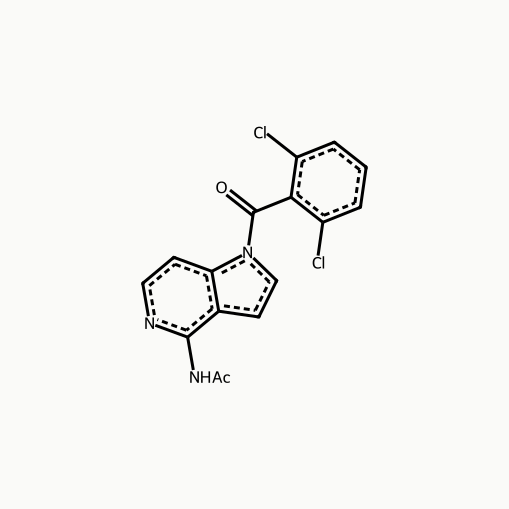 CC(=O)Nc1nccc2c1ccn2C(=O)c1c(Cl)cccc1Cl